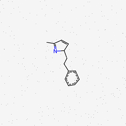 CC1=NC(CCc2ccccc2)C=C1